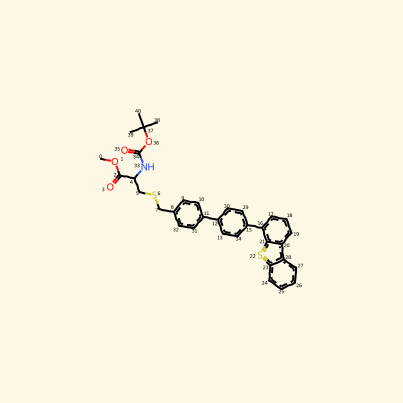 COC(=O)C(CSCc1ccc(-c2ccc(-c3cccc4c3sc3ccccc34)cc2)cc1)NC(=O)OC(C)(C)C